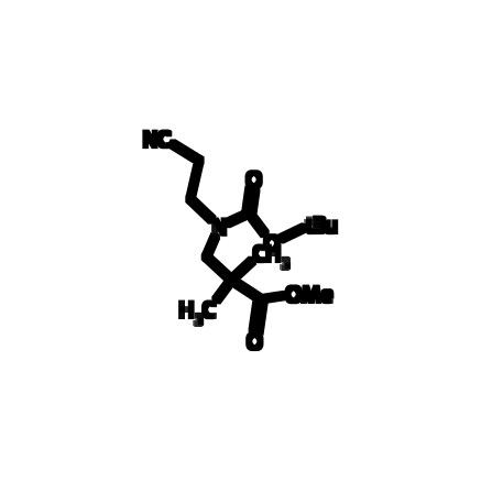 COC(=O)C(C)(C)CN(CCC#N)C(=O)OC(C)(C)C